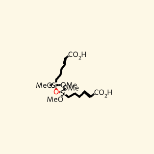 CO[Si](CCCC=CC(=O)O)(OC)O[Si](CCCC=CC(=O)O)(OC)OC